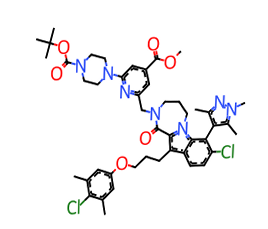 COC(=O)c1cc(CN2CCCn3c(c(CCCOc4cc(C)c(Cl)c(C)c4)c4ccc(Cl)c(-c5c(C)nn(C)c5C)c43)C2=O)nc(N2CCN(C(=O)OC(C)(C)C)CC2)c1